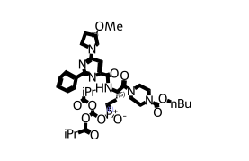 CCCCOC(=O)N1CCN(C(=O)[C@H](C/C=[P+](\[O-])OC(OC(=O)C(C)C)OC(=O)C(C)C)NC(=O)c2cc(N3CC[C@H](OC)C3)nc(-c3ccccc3)n2)CC1